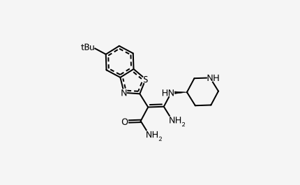 CC(C)(C)c1ccc2sc(/C(C(N)=O)=C(/N)N[C@@H]3CCCNC3)nc2c1